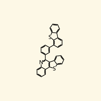 c1cc(-c2cccc3c2sc2ccccc23)cc(-c2nc3ccccc3c3sc4ccccc4c23)c1